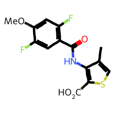 COc1cc(F)c(C(=O)Nc2c(C)csc2C(=O)O)cc1F